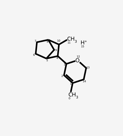 CC1=CC(C2C3CCC(C3)C2C)OCC1.[H+]